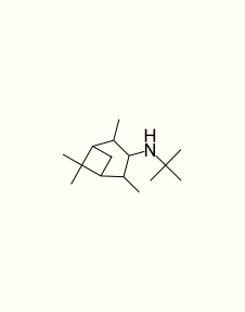 CC1C(NC(C)(C)C)C(C)C2CC1C2(C)C